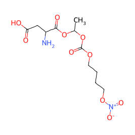 CC(OC(=O)OCCCCO[N+](=O)[O-])OC(=O)C(N)CC(=O)O